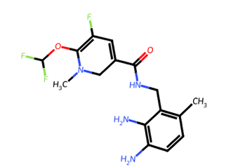 Cc1ccc(N)c(N)c1CNC(=O)C1=CC(F)=C(OC(F)F)N(C)C1